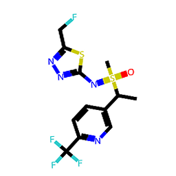 CC(c1ccc(C(F)(F)F)nc1)S(C)(=O)=Nc1nnc(CF)s1